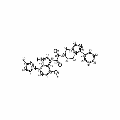 COc1cnc(-n2cnc(C)n2)c2[nH]cc(C(=O)C(=O)N3CCn4c(cnc4-c4ccccc4)C3)c12